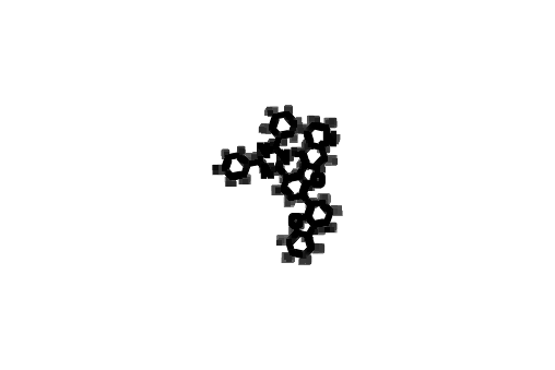 c1ccc(-c2nc(-c3ccccc3)nc(-c3ccc(-c4cccc5c4oc4ccccc45)c4oc5cc6ncccc6cc5c34)n2)cc1